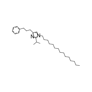 CCCCCCCCCCCCCCCn1cc(CCCc2ccccc2)nc1C(C)C